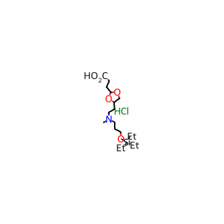 CC[Si](CC)(CC)OCCCN(C)CCC1COC(CCC(=O)O)O1.Cl